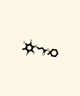 Cc1c(F)c(F)c(SCCC(=O)OC2(C)CCCCC2)c(F)c1F